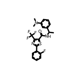 CC(NC(=O)c1sc(-c2ccccc2F)nc1C(F)(F)F)c1cccc(N(C)C)c1